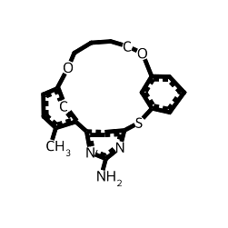 Cc1ccc2cc1-c1cc(nc(N)n1)Sc1cccc(c1)OCCCCO2